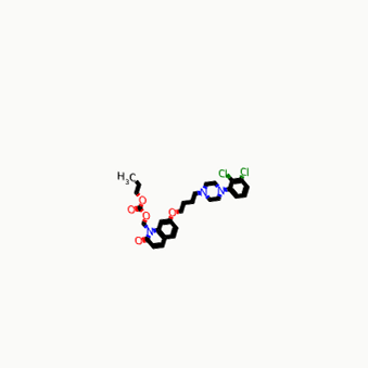 CCCOC(=O)OCn1c(=O)ccc2ccc(OCCCCN3CCN(c4cccc(Cl)c4Cl)CC3)cc21